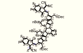 [C-]#[N+]C([N+]#[C-])=C1/C(=C/c2sc3c4c(sc3c2CCCCCCCCCCC)C2c3nsnc3C3c5sc6c(CCCCCCCCCCC)c(/C=C7\C(=O)c8cc(F)c(F)cc8\C7=C(/C)C#N)sc6c5N(CC(CCCC)CCCCCC)C3C2N4CC(CCCC)CCCCCC)C(=O)c2cc(F)c(F)cc21